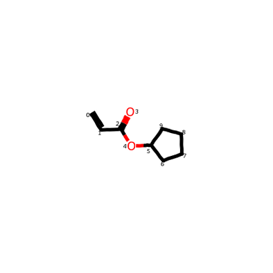 [CH]=CC(=O)OC1CCCC1